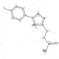 Cc1ccc(-c2nnc(SCC(=O)C(C)(C)C)[nH]2)cc1